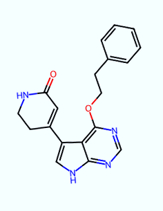 O=C1C=C(c2c[nH]c3ncnc(OCCc4ccccc4)c23)CCN1